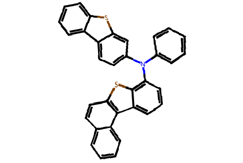 c1ccc(N(c2ccc3c(c2)sc2ccccc23)c2cccc3c2sc2ccc4ccccc4c23)cc1